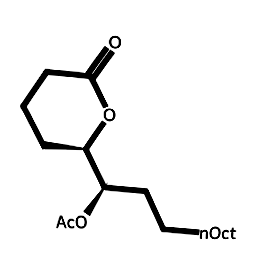 CCCCCCCCCC[C@@H](OC(C)=O)[C@H]1CCCC(=O)O1